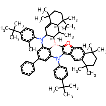 Cc1cc(C(C)(C)C)ccc1N1c2cc(-c3ccccc3)cc3c2B(c2oc4cc5c(cc4c2N3c2ccc(C(C)(C)C)cc2)C(C)(C)CCC5(C)C)[C@@H]2C(C)[C@H]3C(=CC21)C(C)(C)CCC3(C)C